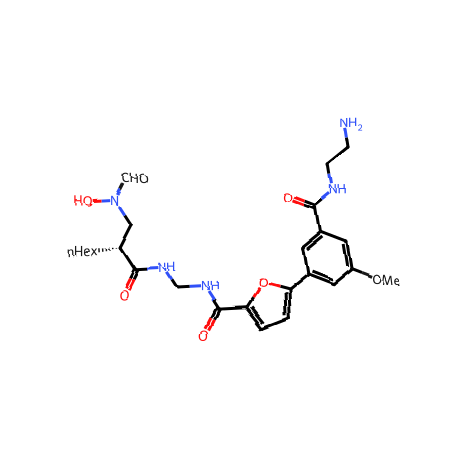 CCCCCC[C@H](CN(O)C=O)C(=O)NCNC(=O)c1ccc(-c2cc(OC)cc(C(=O)NCCN)c2)o1